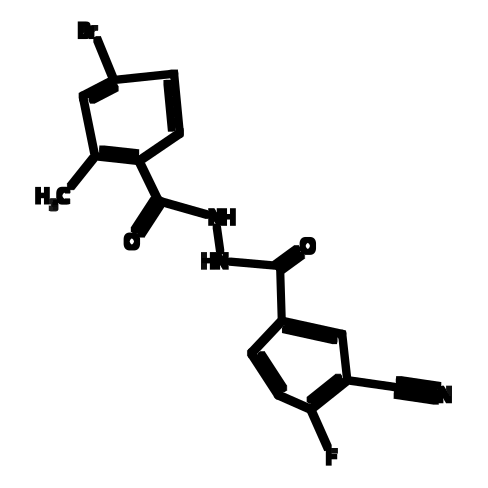 Cc1cc(Br)ccc1C(=O)NNC(=O)c1ccc(F)c(C#N)c1